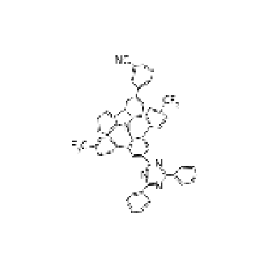 N#Cc1cccc(-c2ccc3c(c2)c2ccccc2n3-c2c(-c3ccc(C(F)(F)F)cc3)cc(-c3nc(-c4ccccc4)nc(-c4ccccc4)n3)cc2-c2ccc(C(F)(F)F)cc2)c1